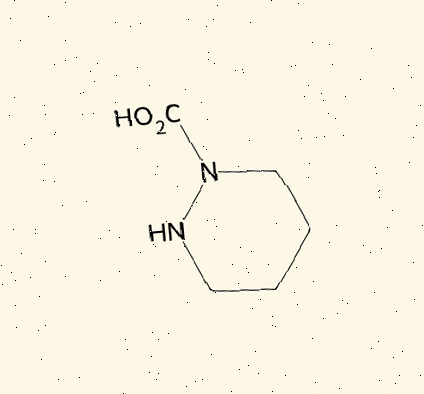 O=C(O)N1CCCCN1